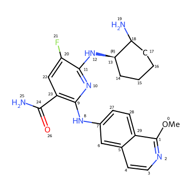 COc1nccc2cc(Nc3nc(N[C@@H]4CCCCC4N)c(F)cc3C(N)=O)ccc12